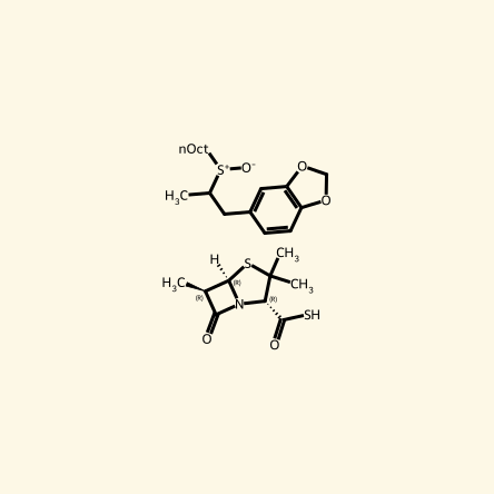 CCCCCCCC[S+]([O-])C(C)Cc1ccc2c(c1)OCO2.C[C@@H]1C(=O)N2[C@@H]1SC(C)(C)[C@@H]2C(=O)S